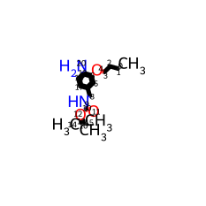 CCCCOc1cc(CNC(=O)OC(C)(C)C)ccc1N